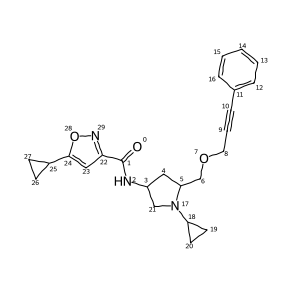 O=C(NC1CC(COCC#Cc2ccccc2)N(C2CC2)C1)c1cc(C2CC2)on1